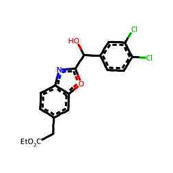 CCOC(=O)Cc1ccc2nc(C(O)c3ccc(Cl)c(Cl)c3)oc2c1